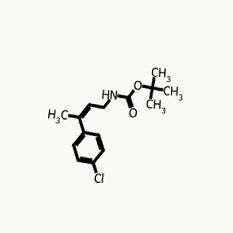 C/C(=C/CNC(=O)OC(C)(C)C)c1ccc(Cl)cc1